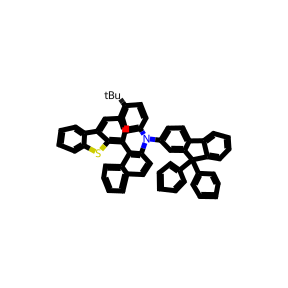 CC(C)(C)c1ccc(N(c2ccc3c(c2)C(c2ccccc2)(c2ccccc2)c2ccccc2-3)c2ccc3ccccc3c2-c2cccc3c2sc2ccccc23)cc1